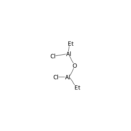 C[CH2][Al]([Cl])[O][Al]([Cl])[CH2]C